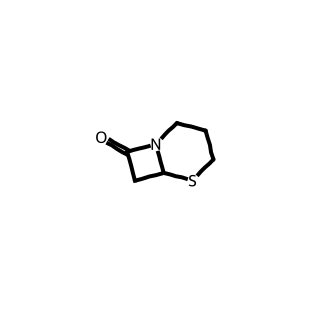 O=C1CC2SCCCN12